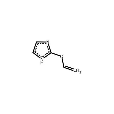 C=COc1ncc[nH]1